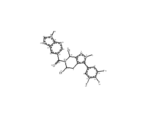 CCC1Cc2c(nn(C)c2-c2cc(F)c(F)c(F)c2)C(CC)N1C(=O)c1cnc2c(c1)ncn2C